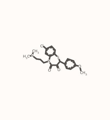 COc1ccc(C2Sc3ccc(Cl)cc3N(CCCN(C)C)C(=O)C2=O)cc1